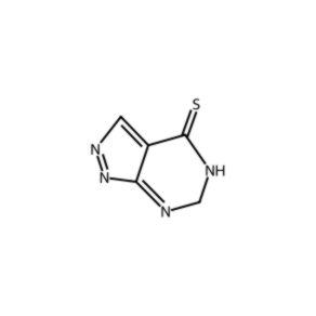 S=C1NCN=C2N=NC=C12